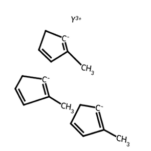 CC1=[C-]CC=C1.CC1=[C-]CC=C1.CC1=[C-]CC=C1.[Y+3]